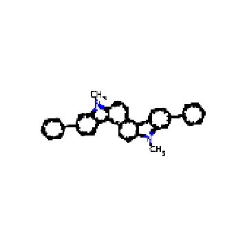 Cn1c2cc(-c3ccccc3)ccc2c2c3ccc4c(c3ccc21)c1ccc(-c2ccccc2)cc1n4C